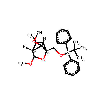 COC1O[C@@]2(CO[Si](c3ccccc3)(c3ccccc3)C(C)(C)C)CC(C)[C@@H]1[C@@H]2OC